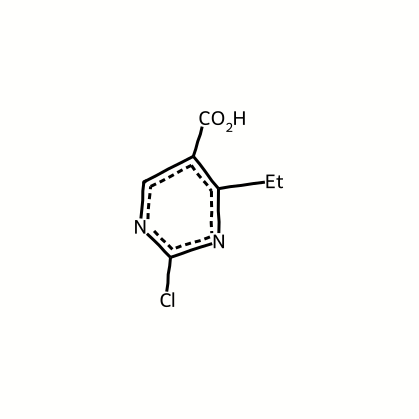 CCc1nc(Cl)ncc1C(=O)O